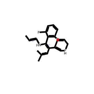 C/C=C/N/C(=C(\C=C(C)C)C1=CPCC=C1)c1c(F)cccc1F